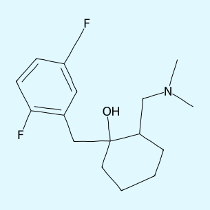 CN(C)CC1CCCCC1(O)Cc1cc(F)ccc1F